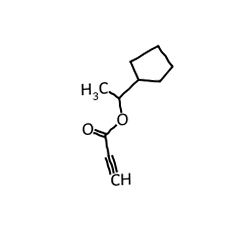 C#CC(=O)OC(C)C1CCCC1